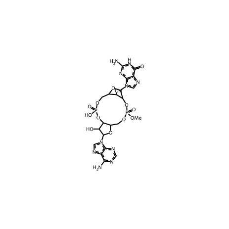 COP1(=O)OCC2OC(n3cnc4c(N)ncnc43)C(O)C2OP(=O)(O)OCC2OC(n3cnc4c(=O)[nH]c(N)nc43)C(O1)C2O